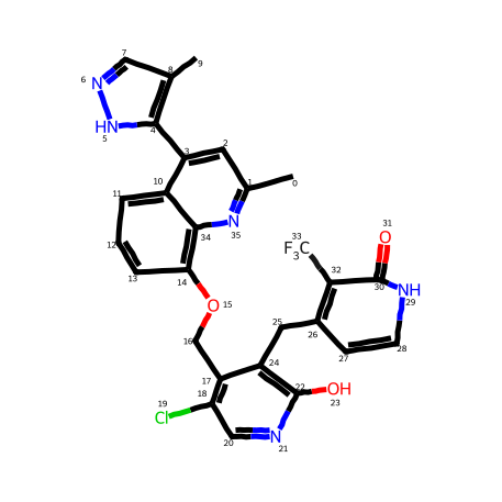 Cc1cc(-c2[nH]ncc2C)c2cccc(OCc3c(Cl)cnc(O)c3Cc3cc[nH]c(=O)c3C(F)(F)F)c2n1